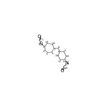 O=C=NC1CCCC(CC2CCC(N=C=O)CC2)CC1